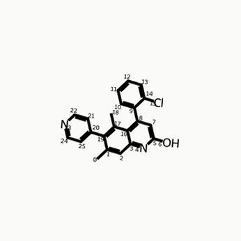 Cc1cc2nc(O)cc(-c3ccccc3Cl)c2c(C)c1-c1ccncc1